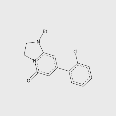 CCN1CCn2c1cc(-c1ccccc1Cl)cc2=O